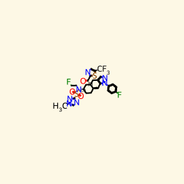 Cn1cnc(S(=O)(=O)N(CCF)[C@H]2CCC3=Cc4c(cnn4-c4ccc(F)cc4)C[C@]3(C(=O)c3ncc(C(F)(F)F)s3)C2)n1